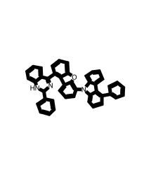 c1ccc(-c2cccc3c2c2ccccc2n3-c2cccc3c2oc2cccc(C4=NC(c5ccccc5)Nc5ccccc54)c23)cc1